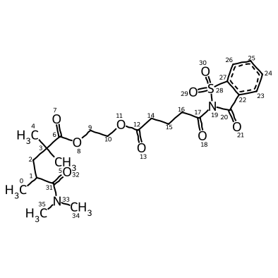 CC(CC(C)(C)C(=O)OCCOC(=O)CCCC(=O)N1C(=O)c2ccccc2S1(=O)=O)C(=O)N(C)C